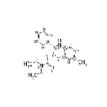 CCN(CC)C(=O)C[C@H]1Cc2cc(C)ccc2N[C@H]1C1C=CC=CC1